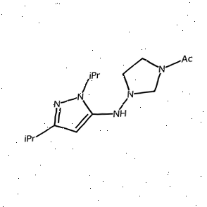 CC(=O)N1CCN(Nc2cc(C(C)C)nn2C(C)C)C1